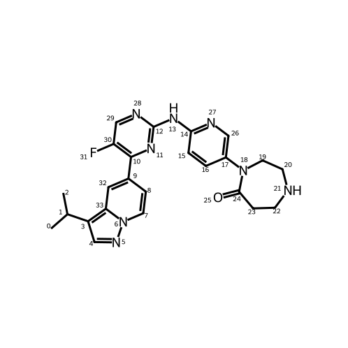 CC(C)c1cnn2ccc(-c3nc(Nc4ccc(N5CCNCCC5=O)cn4)ncc3F)cc12